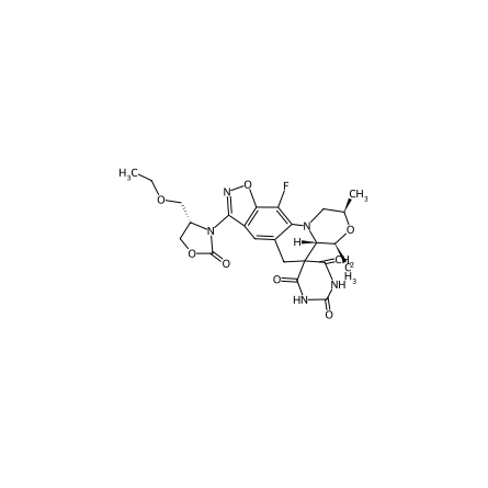 C=C1NC(=O)NC(=O)C12Cc1cc3c(N4C(=O)OC[C@@H]4COCC)noc3c(F)c1N1C[C@@H](C)O[C@@H](C)[C@@H]12